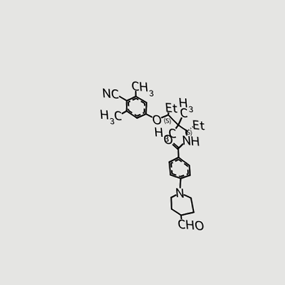 CC[C@H](NC(=O)c1ccc(N2CCC(C=O)CC2)cc1)C(C)(C)[C@H](CC)Oc1cc(C)c(C#N)c(C)c1